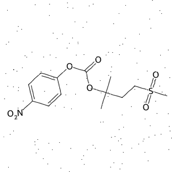 CC(C)(CCS(C)(=O)=O)OC(=O)Oc1ccc([N+](=O)[O-])cc1